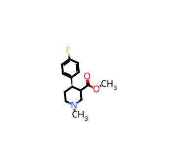 COC(=O)C1CN(C)CC[C@H]1c1ccc(F)cc1